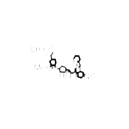 [C-]#[N+]c1ccc2c(C(O)(CN3CCC(Oc4ccc(CCC(=O)OCC)cc4OC)CC3)C(F)(F)F)cn(Cc3ccccn3)c2c1